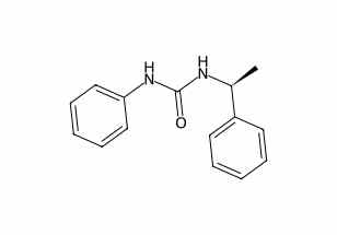 C[C@H](NC(=O)Nc1ccccc1)c1ccccc1